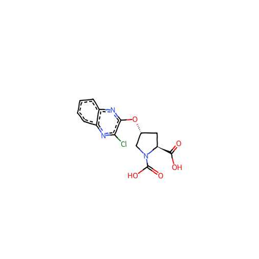 O=C(O)[C@@H]1C[C@@H](Oc2nc3ccccc3nc2Cl)CN1C(=O)O